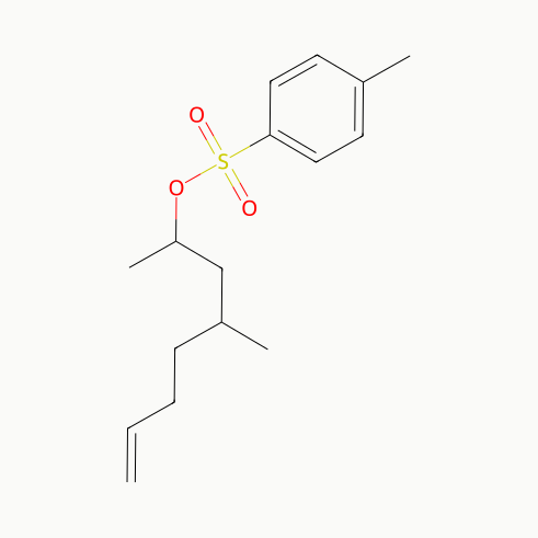 C=CCCC(C)CC(C)OS(=O)(=O)c1ccc(C)cc1